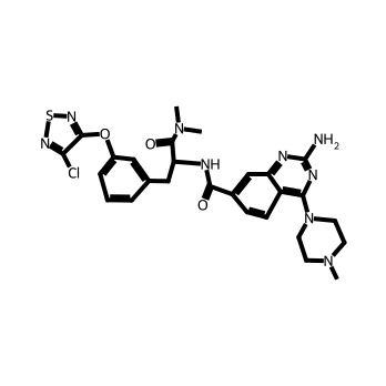 CN1CCN(c2nc(N)nc3cc(C(=O)NC(Cc4cccc(Oc5nsnc5Cl)c4)C(=O)N(C)C)ccc23)CC1